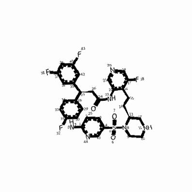 Nc1ccc(S(=O)(=O)N2CCNC[C@@H]2CCc2c(F)cncc2NC(=O)C[C@@H](c2ccc(F)cc2)c2cc(F)cc(F)c2)cn1